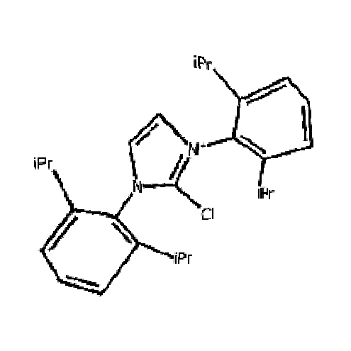 CC(C)c1cccc(C(C)C)c1-n1cc[n+](-c2c(C(C)C)cccc2C(C)C)c1Cl